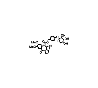 COc1cc2c(cc1OC)N(C(=O)OCc1ccc(O[C@@H]3O[C@@H](C)[C@@H](O)[C@@H](O)[C@@H]3O)cc1)C(O)[C@@H]1CCCN1C2=O